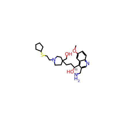 COc1ccc2ncc(CN)c([C@@H](O)CCC3(CO)CCN(CCSC4CCCC4)CC3)c2c1